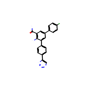 NC(=O)c1cc(-c2ccc(Cl)cc2)cc(-c2ccc(-c3c[nH]nn3)cc2)c1N